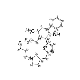 C[C@@H]1Cc2c([nH]c3ccccc23)[C@@H](c2cnc(C[C@H]3CCN(CCCF)C3)s2)N1CC(F)(F)F